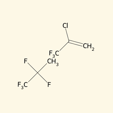 C=C(Cl)C(F)(F)F.CC(F)(F)C(F)(F)F